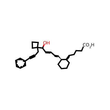 O=C(O)CCC/C=C1\CCCC[C@H]1/C=C/C=C/C(O)C1(CC#Cc2ccccc2)CCC1